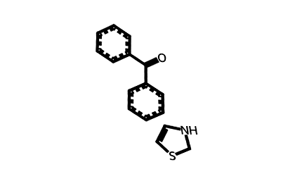 C1=CSCN1.O=C(c1ccccc1)c1ccccc1